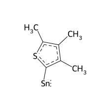 Cc1s[c]([Sn])c(C)c1C